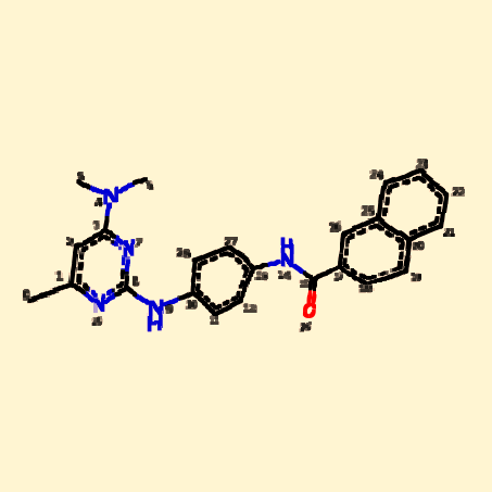 Cc1cc(N(C)C)nc(Nc2ccc(NC(=O)c3ccc4ccccc4c3)cc2)n1